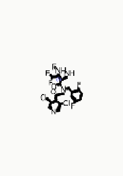 N=C/C(C(=O)N(CC(=O)c1c(Cl)cncc1Cl)Cc1cc(F)ccc1F)=C(\NF)C(F)F